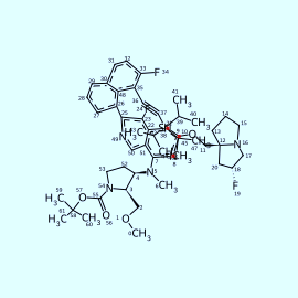 COC[C@@H]1[C@H](N(C)c2nc(OC[C@@]34CCCN3C[C@H](F)C4)nc3c(F)c(-c4cccc5ccc(F)c(C#C[Si](C(C)C)(C(C)C)C(C)C)c45)ncc23)CCN1C(=O)OC(C)(C)C